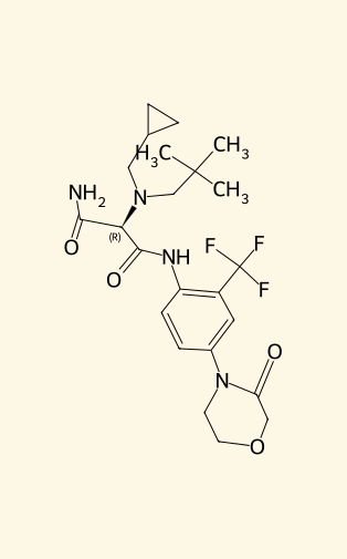 CC(C)(C)CN(CC1CC1)[C@H](C(N)=O)C(=O)Nc1ccc(N2CCOCC2=O)cc1C(F)(F)F